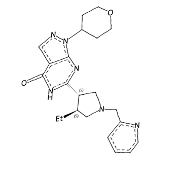 CC[C@@H]1CN(Cc2ccccn2)C[C@H]1c1nc2c(cnn2C2CCOCC2)c(=O)[nH]1